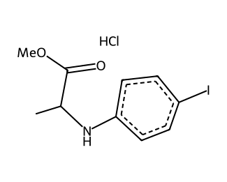 COC(=O)C(C)Nc1ccc(I)cc1.Cl